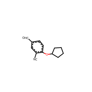 [C-]#[N+]c1cc(C=O)ccc1OC1CCCC1